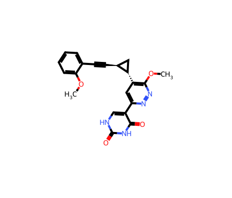 COc1ccccc1C#C[C@H]1C[C@@H]1c1cc(-c2c[nH]c(=O)[nH]c2=O)nnc1OC